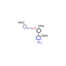 CNc1nc(N)ncc1-c1ccc(OC)c(OCCCN2CCC(OC)C2)c1